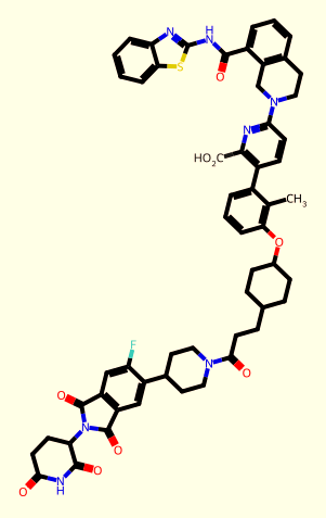 Cc1c(OC2CCC(CCC(=O)N3CCC(c4cc5c(cc4F)C(=O)N(C4CCC(=O)NC4=O)C5=O)CC3)CC2)cccc1-c1ccc(N2CCc3cccc(C(=O)Nc4nc5ccccc5s4)c3C2)nc1C(=O)O